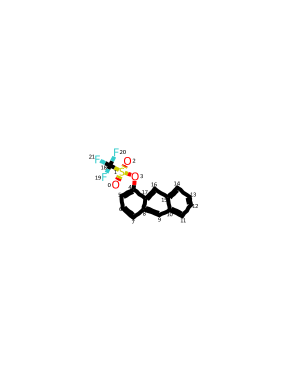 O=S(=O)(Oc1cccc2cc3ccccc3cc12)C(F)(F)F